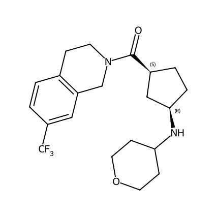 O=C([C@H]1CC[C@@H](NC2CCOCC2)C1)N1CCc2ccc(C(F)(F)F)cc2C1